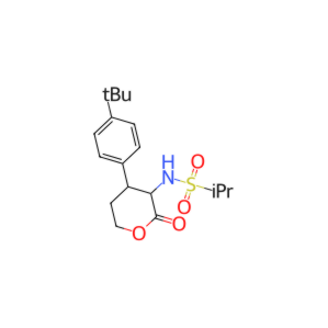 CC(C)S(=O)(=O)NC1C(=O)OCCC1c1ccc(C(C)(C)C)cc1